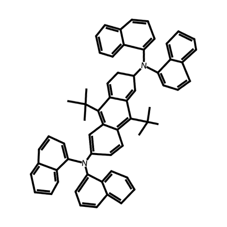 CC(C)(C)c1c2c(c(C(C)(C)C)c3cc(N(c4cccc5ccccc45)c4cccc5ccccc45)ccc13)=CCC(N(c1cccc3ccccc13)c1cccc3ccccc13)C=2